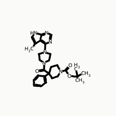 Cc1c[nH]c2ncnc(N3CCN(C(=O)C4(c5ccccc5)CCN(C(=O)OC(C)(C)C)CC4)CC3)c12